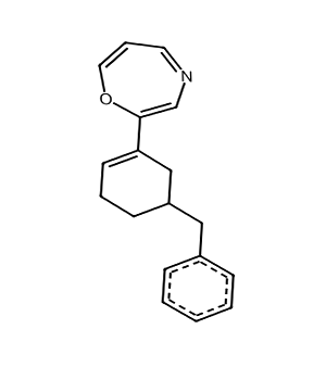 C1=COC(C2=CCCC(Cc3ccccc3)C2)=CN=C1